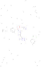 Cc1ccc([C@@H]2CC2NCCC[C@H](NC(=O)c2ccc(C(F)(F)F)cc2)C(=O)N2CCCCC2)cc1Cl